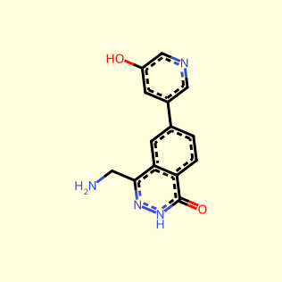 NCc1n[nH]c(=O)c2ccc(-c3cncc(O)c3)cc12